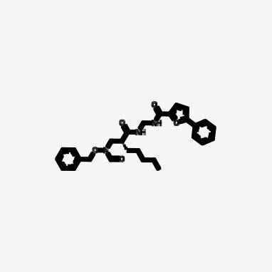 CCCCC[C@H](CN(C=O)OCc1ccccc1)C(=O)NCNC(=O)c1ccc(-c2ccccc2)o1